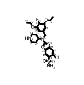 CCOc1cc(CN(c2nc3cc(Cl)c(S(N)(=O)=O)cc3o2)C2CCNCC2)cc(OCC)c1F